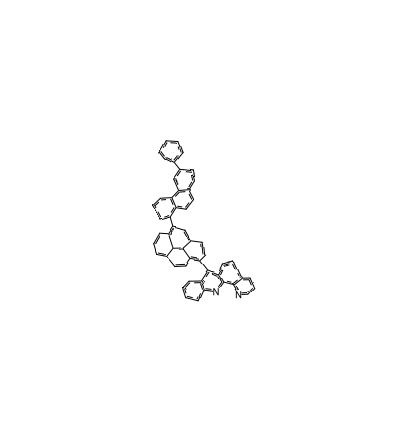 C1=CC2=C(c3cccc4c3ccc3ccc(-c5ccccc5)cc34)C=C3C=CC(c4c5ccccc5nc5c4ccc4cccnc45)=C4C=CC(=C1)C2C34